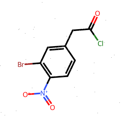 O=C(Cl)Cc1ccc([N+](=O)[O-])c(Br)c1